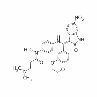 CN(C)CCC(=O)N(C)c1ccc(NC(=C2C(=O)Nc3cc([N+](=O)[O-])ccc32)c2ccc3c(c2)OCCO3)cc1